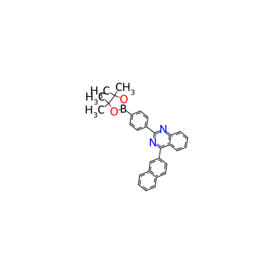 CC1(C)OB(c2ccc(-c3nc(-c4ccc5ccccc5c4)c4ccccc4n3)cc2)OC1(C)C